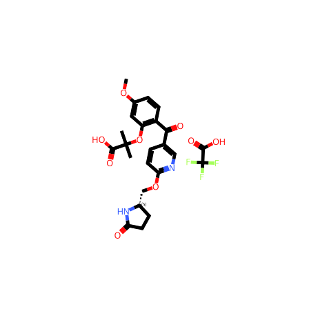 COc1ccc(C(=O)c2ccc(OC[C@@H]3CCC(=O)N3)nc2)c(OC(C)(C)C(=O)O)c1.O=C(O)C(F)(F)F